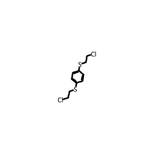 ClCCSc1ccc(SCCCl)cc1